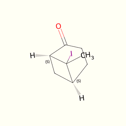 CC1(I)[C@H]2CCC(=O)[C@@H]1C2